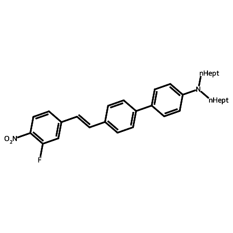 CCCCCCCN(CCCCCCC)c1ccc(-c2ccc(C=Cc3ccc([N+](=O)[O-])c(F)c3)cc2)cc1